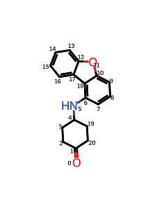 O=C1CCC(Nc2cccc3oc4ccccc4c23)CC1